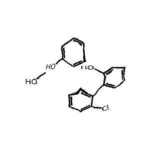 CO.Oc1ccccc1.Oc1ccccc1-c1ccccc1Cl